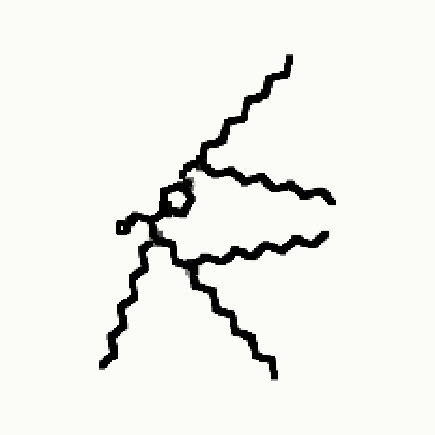 CCCCCCCCCN(CCCCCCCCC)CCN(CCCCCCCCC)C(C=O)N1CC[C@@H](CN(CCCCCCCCC)CCCCCCCCC)C1